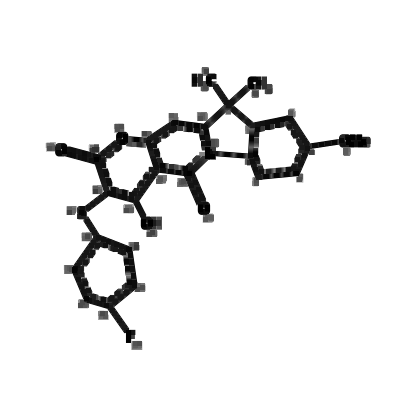 COc1ccc2c(c1)C(C)(C)c1cc3oc(=O)c(Sc4ccc(F)cc4)c(O)c3c(=O)n1-2